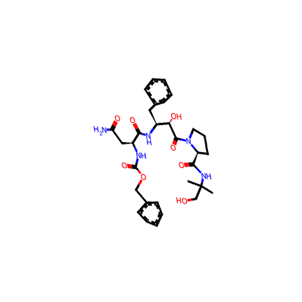 CC(C)(CO)NC(=O)[C@@H]1CCCN1C(=O)[C@@H](O)[C@H](Cc1ccccc1)NC(=O)[C@H](CC(N)=O)NC(=O)OCc1ccccc1